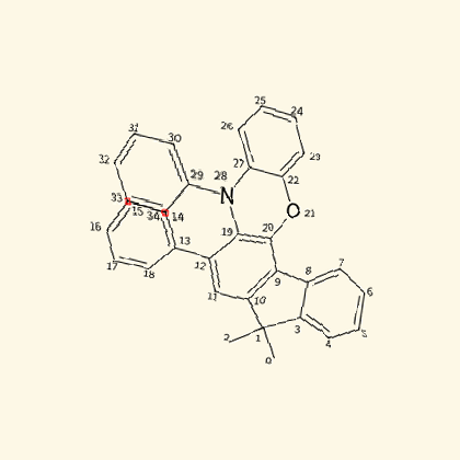 CC1(C)c2ccccc2-c2c1cc(-c1ccccc1)c1c2Oc2ccccc2N1c1ccccc1